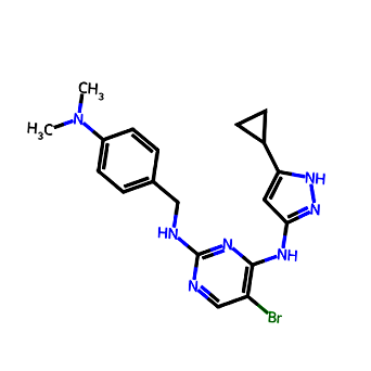 CN(C)c1ccc(CNc2ncc(Br)c(Nc3cc(C4CC4)[nH]n3)n2)cc1